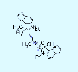 CCN1/C(=C/C=C(C)/C=C/C2=[N+](CC)c3ccc4ccccc4c3C2(C)C)C(C)(C)c2c1ccc1ccccc21